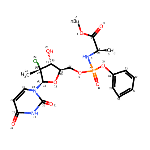 CCCCOC(=O)[C@@H](C)NP(=O)(OC[C@H]1O[C@@H](n2ccc(=O)[nH]c2=O)[C@](C)(Cl)[C@@H]1O)Oc1ccccc1